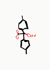 Cc1ccc(C(O)(C([O])=O)c2ccc(C)cc2)cc1